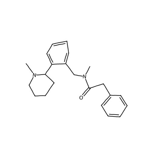 CN(Cc1ccccc1C1CCCCN1C)C(=O)Cc1ccccc1